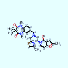 CCN1C(=O)C(C)(C)C(=O)N(C)c2cc(CN(CCn3ccc4oc(C)cc4c3=O)Cc3nc(C)cs3)ccc21